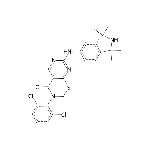 CC1(C)NC(C)(C)c2cc(Nc3ncc4c(n3)SCN(c3c(Cl)cccc3Cl)C4=O)ccc21